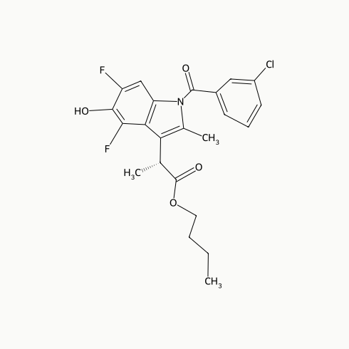 CCCCOC(=O)[C@H](C)c1c(C)n(C(=O)c2cccc(Cl)c2)c2cc(F)c(O)c(F)c12